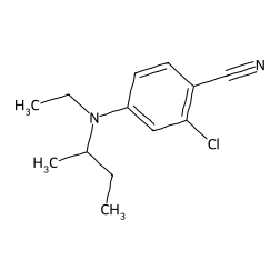 CCC(C)N(CC)c1ccc(C#N)c(Cl)c1